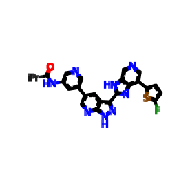 CC(C)C(=O)Nc1cncc(-c2cnc3[nH]nc(-c4nc5c(-c6ccc(F)s6)cncc5[nH]4)c3c2)c1